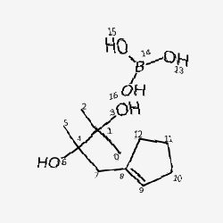 CC(C)(O)C(C)(O)CC1=CCCC1.OB(O)O